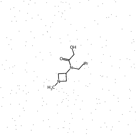 CC(C)CN(C(=O)CO)C1CN(C)C1